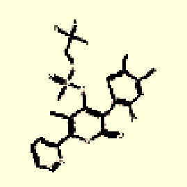 Cc1cc(Cl)c(-c2c(OP(C)(=S)OCC(F)(F)F)c(C)c(-c3ccccn3)oc2=O)cc1C